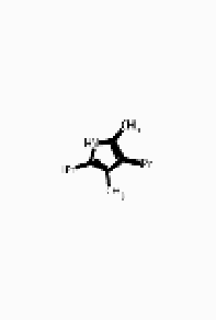 Cc1[nH]c(C(C)C)c(C)c1C(C)C